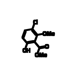 COC(=O)c1c(O)ccc(Cl)c1OC